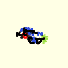 CC(Cc1ccc(C#N)cc1)(NC(=O)[C@H]1CCCN(Cc2cccc(C(F)(F)F)c2)C1)c1cnc[nH]1